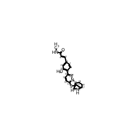 CNC(=O)/C=C/c1ccc(-c2ccc(S[C@H]3CC4CCC3CN4)nn2)c(O)c1